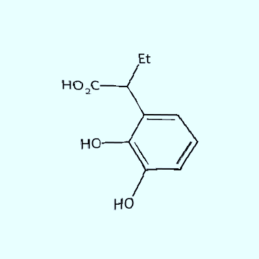 CCC(C(=O)O)c1cccc(O)c1O